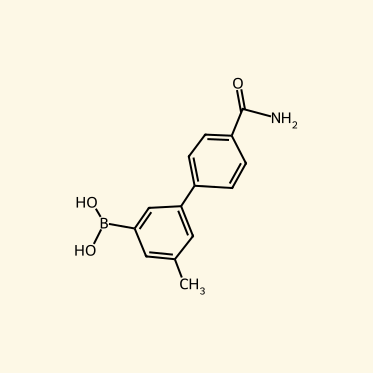 Cc1cc(B(O)O)cc(-c2ccc(C(N)=O)cc2)c1